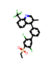 CCS(=O)(=O)c1cc(F)c(-c2cccc(-c3c(C)cnc4c(C(F)(F)F)cccc34)c2)cc1F